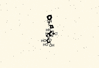 OC[C@H]1O[C@@H](n2cnc3c(NC4CCC4Sc4nc5ccccc5s4)nc(Cl)nc32)[C@H](O)[C@@H]1O